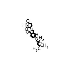 C=C(CNc1ccc2c(c1)CN(C1CCC(=O)NC1=O)C2=O)CC(C)C